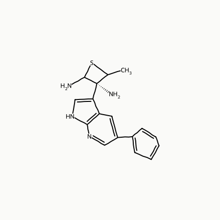 CC1SC(N)[C@]1(N)c1c[nH]c2ncc(-c3ccccc3)cc12